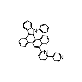 c1ccc(-n2c3ccccc3c3c4ccccc4c4cc(-c5cccc(-c6ccncc6)n5)c5ccccc5c4c32)cc1